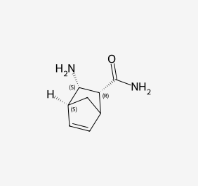 NC(=O)[C@@H]1C2C=C[C@H](C2)[C@@H]1N